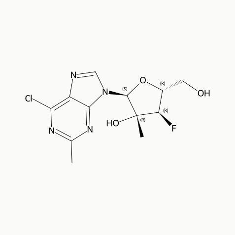 Cc1nc(Cl)c2ncn([C@H]3O[C@H](CO)[C@@H](F)[C@]3(C)O)c2n1